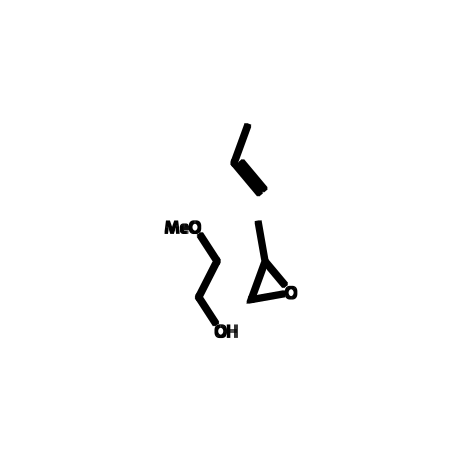 C=CC.CC1CO1.COCCO